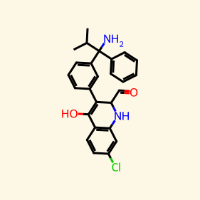 CC(C)C(N)(c1ccccc1)c1cccc(C2=C(O)c3ccc(Cl)cc3NC2C=O)c1